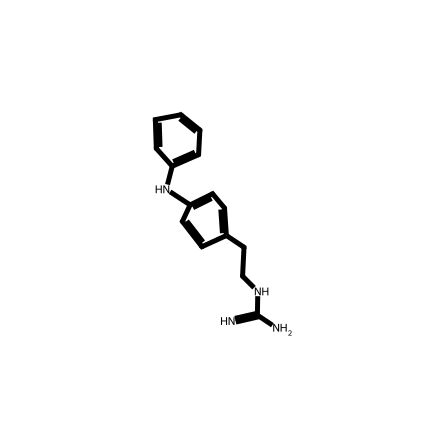 N=C(N)NCCc1ccc(Nc2cc[c]cc2)cc1